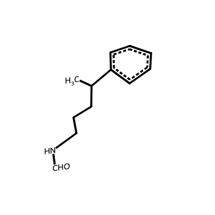 CC(CCCNC=O)c1ccccc1